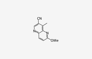 COc1ccc2ncc(C#N)c(C)c2n1